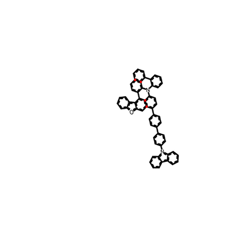 c1ccc(-c2ccccc2N(c2ccc(-c3ccc(-c4ccc(-n5c6ccccc6c6ccccc65)cc4)cc3)cc2)c2ccccc2-c2cccc3oc4ccccc4c23)cc1